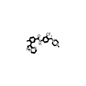 Cc1ccc(C(=O)Nc2ccc(CN3CCN(C)CC3)c(C(F)(F)F)c2)cc1-c1cnn2cccnc12